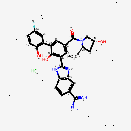 Cl.N=C(N)c1ccc2[nH]c(-c3cc(C(=O)N4C[C@H](O)C[C@H]4C(=O)O)cc(-c4cc(F)ccc4O)c3O)nc2c1